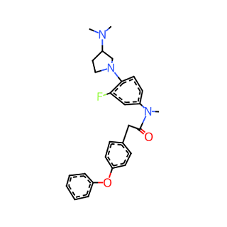 CN(C(=O)Cc1ccc(Oc2ccccc2)cc1)c1ccc(N2CCC(N(C)C)C2)c(F)c1